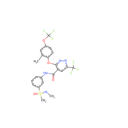 CN=S(C)(=O)c1cccc(NC(=O)c2cc(C(F)(F)F)nnc2Oc2ccc(OC(F)(F)F)cc2C)c1